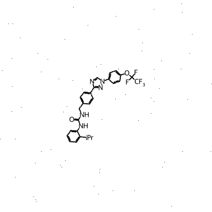 CC(C)c1ccccc1NC(=O)NCc1ccc(-c2ncn(-c3ccc(OC(F)(F)C(F)(F)F)cc3)n2)cc1